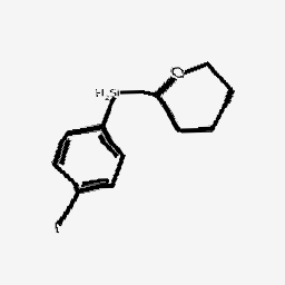 Ic1ccc([SiH2]C2CCCCO2)cc1